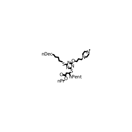 CCCCCCCCCCCCCCCSc1nc(OCCCN2CCN(C)CC2)nc(SC(CCCCC)CC(=O)OCCC)n1